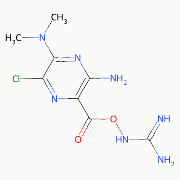 CN(C)c1nc(N)c(C(=O)ONC(=N)N)nc1Cl